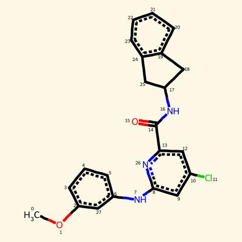 COc1cccc(Nc2cc(Cl)cc(C(=O)NC3Cc4ccccc4C3)n2)c1